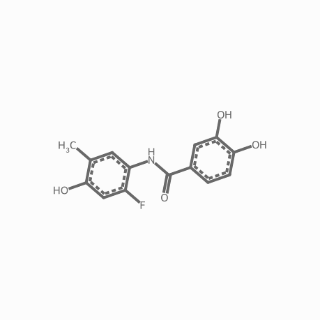 Cc1cc(NC(=O)c2ccc(O)c(O)c2)c(F)cc1O